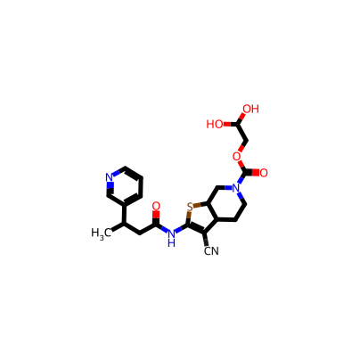 CC(CC(=O)NC1=C(C#N)C2CCN(C(=O)OCC(O)O)CC2S1)c1cccnc1